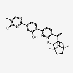 C=C(c1ccc(-c2ccc(-c3ncn(C)c(=O)n3)cc2O)nn1)[C@@H]1C[C@@]2(C)CC[C@](C)(N2)[C@@H]1F